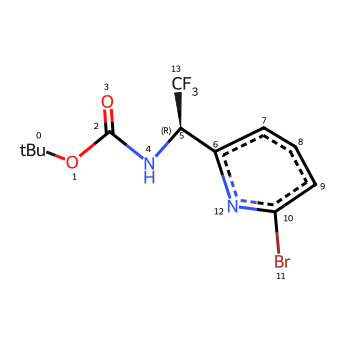 CC(C)(C)OC(=O)N[C@H](c1cccc(Br)n1)C(F)(F)F